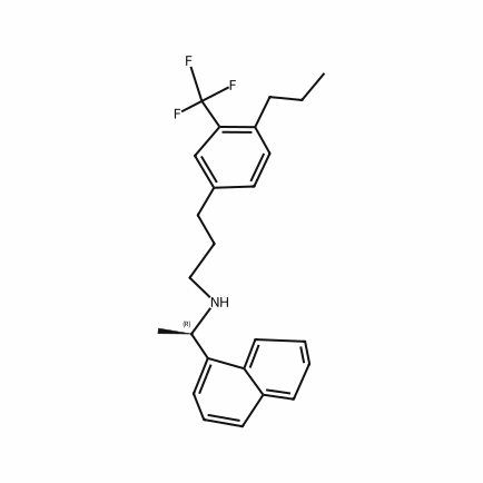 CCCc1ccc(CCCN[C@H](C)c2cccc3ccccc23)cc1C(F)(F)F